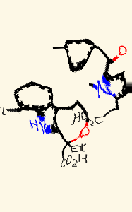 CCc1cccc2c3c([nH]c12)C(CC)(CC(=O)O)OCC3.Cc1ccc(C(=O)c2ccc(CC(=O)O)n2C)cc1